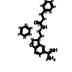 N=C(N)c1ccc2c(c1)C(CCNC(=O)CCc1ccccc1)CO2.[c]1ccccc1